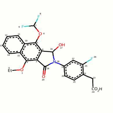 CCOc1c2c(c(OC(F)F)c3ccccc13)C(O)N(c1ccc(CC(=O)O)c(F)c1)C2=O